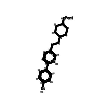 CCCCCC1CCC(CCc2ccc(-c3ccc(CC)cc3)nc2)CC1